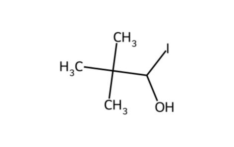 CC(C)(C)C(O)I